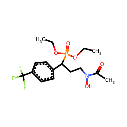 CCOP(=O)(OCC)C(CCN(O)C(C)=O)c1ccc(C(F)(F)F)cc1